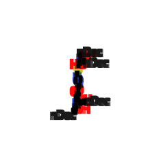 CCCCCCCCCCCCC(O)CN(CCCCC(=O)OCCN1CCN(CCSSCCCN(CC(O)CCCCCCCCCC)CC(O)CCCCCCCCCC)CC1)CC(O)CCCCCCCCCCCC